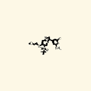 COCCOc1cc2ncc(-c3cc(N)nc(Cl)c3)n2cc1S(=O)(=O)C(C)(C)C